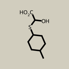 CC1CCC(SC(O)C(=O)O)CC1